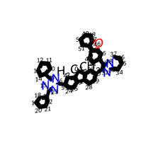 CC1(C)c2cc(-c3nc(-c4ccccc4)nc(-c4ccccc4)n3)ccc2-c2ccc(-c3nc4ccccn4c3-c3ccc4c(c3)oc3ccccc34)cc21